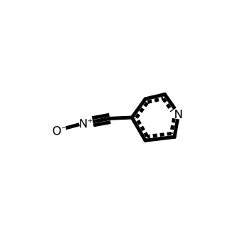 [O-][N+]#Cc1ccncc1